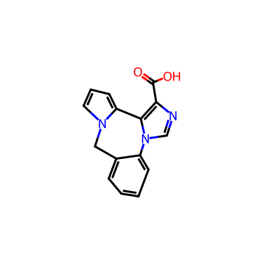 O=C(O)c1ncn2c1-c1cccn1Cc1ccccc1-2